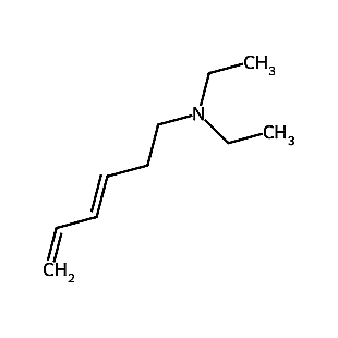 C=CC=CCCN(CC)CC